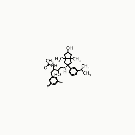 CC(=O)NC(Cc1cc(F)cc(F)c1)C(O)CNC1(c2cccc(C(C)C)c2)CC2(C)CC(O)CC2(C)C1